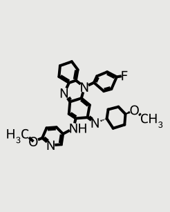 COc1ccc(Nc2cc3nc4c(n(-c5ccc(F)cc5)c-3c/c2=N\[C@H]2CC[C@H](OC)CC2)=CCCC=4)cn1